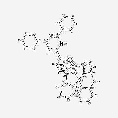 c1ccc(-c2nc(-c3ccccc3)nc(-c3cccc(-c4cccc5c4C4(c6ccccc6S5)c5ccccc5-c5ccccc54)c3)n2)cc1